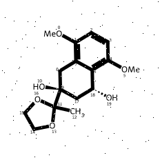 COc1ccc(OC)c2c1C[C@@](O)(C1(C)OCCO1)C[C@H]2O